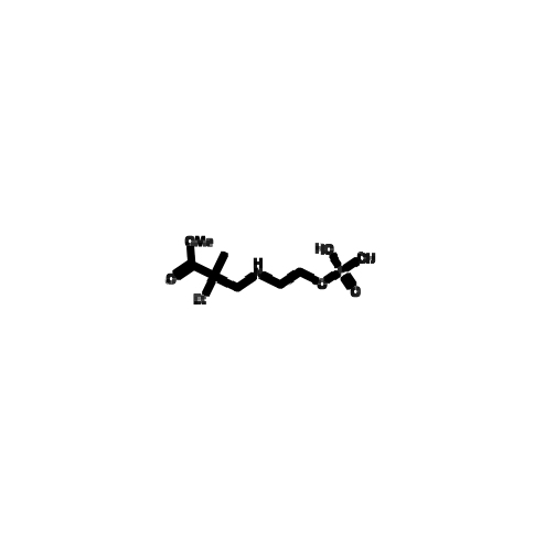 CCC(C)(CNCCOP(=O)(O)O)C(=O)OC